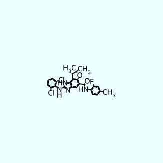 Cc1ccc(NC(=O)c2cc3nc(Nc4c(Cl)cccc4Cl)[nH]c3c3c2OC(C)(C)C3)c(F)c1